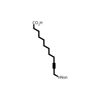 CCCCCCCCCCC#CCCCCCCCCC(=O)O